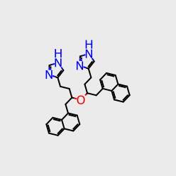 c1ccc2c(CC(CCc3c[nH]cn3)OC(CCc3c[nH]cn3)Cc3cccc4ccccc34)cccc2c1